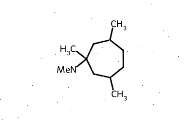 CNC1(C)CC(C)CCC(C)C1